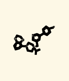 CC(C)[N+]1(Cc2cncc(-c3ccc(F)cc3)c2)CCN(c2cccc3c2OCCO3)CC1